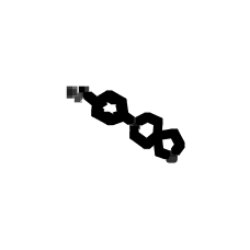 Nc1ccc(N2CCC3(CCOC3)CC2)cc1